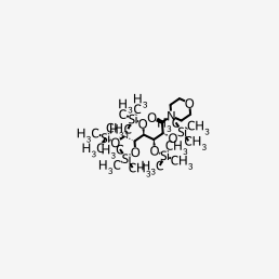 C[Si](C)(C)OC[C@@H](O[Si](C)(C)C)[C@@H](O[Si](C)(C)C)[C@H](O[Si](C)(C)C)[C@@H](O[Si](C)(C)C)C(=O)N1CCOCC1